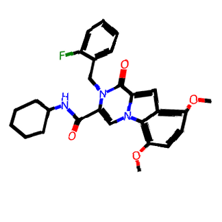 COc1ccc(OC)c2c1cc1c(=O)n(Cc3ccccc3F)c(C(=O)NC3CCCCC3)cn12